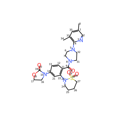 Cc1cnc(N2CCN(C(=O)c3ccc(N4CCOC4=O)cc3N3CCCCS3(=O)=O)CC2)c(C)c1